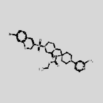 CCOC(=O)NC1(CN2CCN(S(=O)(=O)C3=Cc4ccc(Br)cc4OC3)CC2=O)CCN(c2ccnc(C)c2)CC1